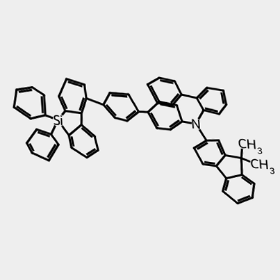 CC1(C)c2ccccc2-c2ccc(N(c3ccc(-c4ccc(-c5cccc6c5-c5ccccc5[Si]6(c5ccccc5)c5ccccc5)cc4)cc3)c3ccccc3-c3ccccc3)cc21